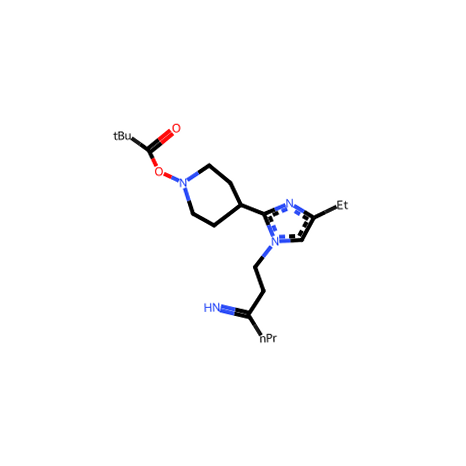 CCCC(=N)CCn1cc(CC)nc1C1CCN(OC(=O)C(C)(C)C)CC1